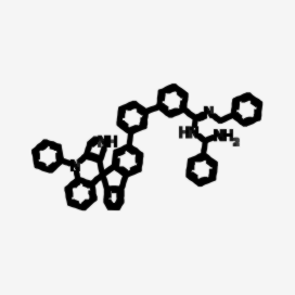 NC(N/C(=N\Cc1ccccc1)c1cccc(-c2cccc(-c3ccc4c(c3)C3(C5=C(C=CNC5)N(c5ccccc5)c5ccccc53)c3ccccc3-4)c2)c1)c1ccccc1